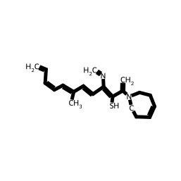 C=C\C=C/C=C(C)/C=C/C(N=C)=C(\S)C(=C)N1CCC=CCC1